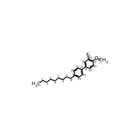 CCCCCCCCCc1ccc(-c2ccc(OC)c(F)c2)cc1